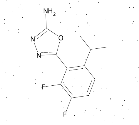 CC(C)c1ccc(F)c(F)c1-c1nnc(N)o1